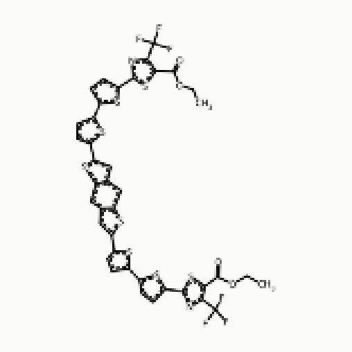 CCOC(=O)c1sc(-c2ccc(-c3ccc(-c4cc5cc6sc(-c7ccc(-c8ccc(-c9nc(C(F)(F)F)c(C(=O)OCC)s9)s8)s7)cc6cc5s4)s3)s2)nc1C(F)(F)F